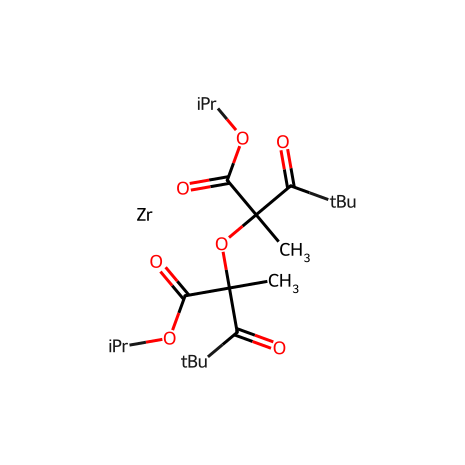 CC(C)OC(=O)C(C)(OC(C)(C(=O)OC(C)C)C(=O)C(C)(C)C)C(=O)C(C)(C)C.[Zr]